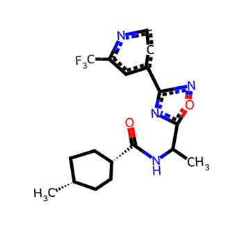 CC(NC(=O)[C@H]1CC[C@@H](C)CC1)c1nc(-c2ccnc(C(F)(F)F)c2)no1